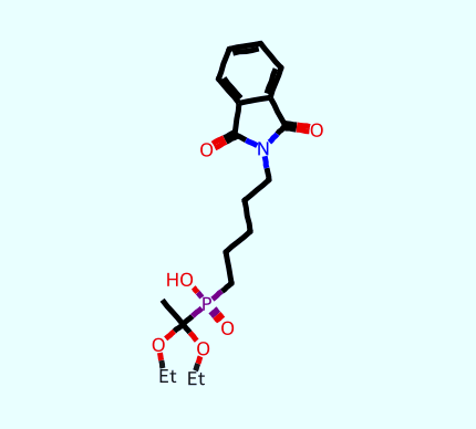 CCOC(C)(OCC)P(=O)(O)CCCCCN1C(=O)c2ccccc2C1=O